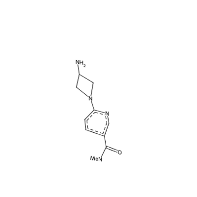 CNC(=O)c1ccc(N2CC(N)C2)nc1